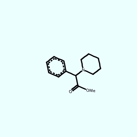 COC(=O)C(c1ccccc1)N1CCCCC1